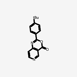 CC(C)(C)c1ccc(-c2nc3ccncc3c(=O)o2)cc1